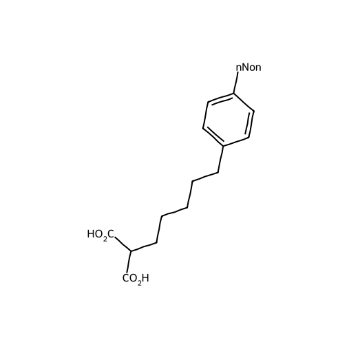 CCCCCCCCCc1ccc(CCCCCC(C(=O)O)C(=O)O)cc1